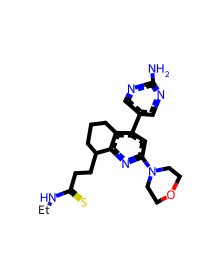 CCNC(=S)CCC1CCCc2c(-c3cnc(N)nc3)cc(N3CCOCC3)nc21